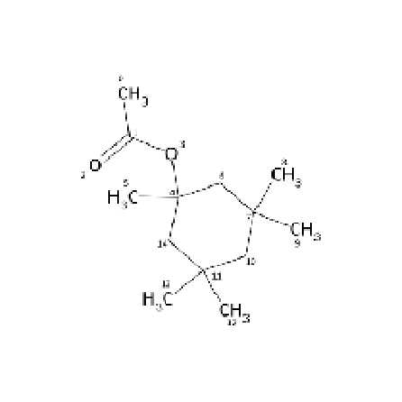 CC(=O)OC1(C)CC(C)(C)CC(C)(C)C1